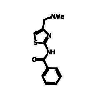 CNCc1csc(NC(=O)c2ccccc2)n1